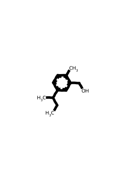 CCC(C)c1ccc(C)c(CO)c1